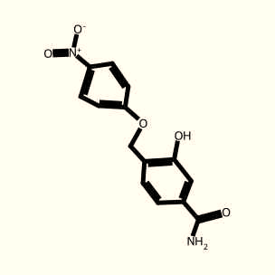 NC(=O)c1ccc(COc2ccc([N+](=O)[O-])cc2)c(O)c1